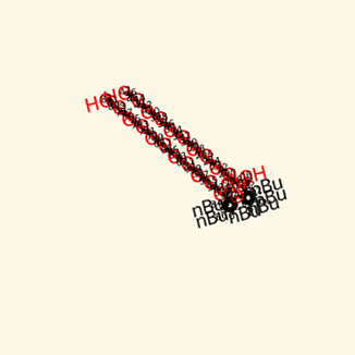 CCCCc1cc(Oc2cc(CCCC)c(CCCC)c(CCCC)c2C(CO)OCCOCCOCCOCCOCCOCCOCCOCCOCCOCCO)c(C(CO)OCCOCCOCCOCCOCCOCCOCCOCCOCCOCCO)c(CCCC)c1CCCC